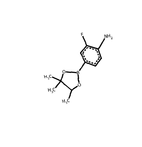 CC1OB(c2ccc(N)c(F)c2)OC1(C)C